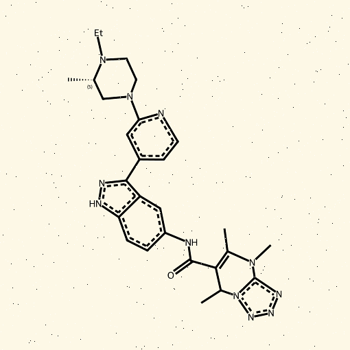 CCN1CCN(c2cc(-c3n[nH]c4ccc(NC(=O)C5=C(C)N(C)c6nnnn6C5C)cc34)ccn2)C[C@@H]1C